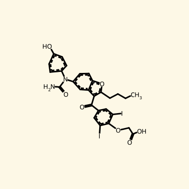 CCCCc1oc2ccc(N(C(N)=O)c3ccc(O)cc3)cc2c1C(=O)c1cc(I)c(OCC(=O)O)c(I)c1